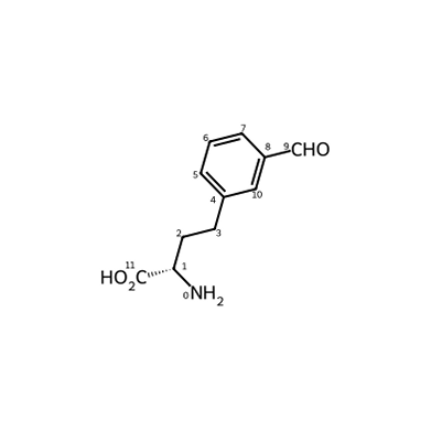 N[C@@H](CCc1cccc(C=O)c1)C(=O)O